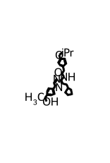 CC(C)Oc1ccc(CC(=O)Nc2ncc(-c3ccc(C(C)O)cc3)nc2CC2CCCC2)cc1